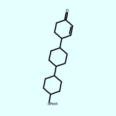 CCCCCC1CCC(C2CCC(C3C=CC(=O)CC3)CC2)CC1